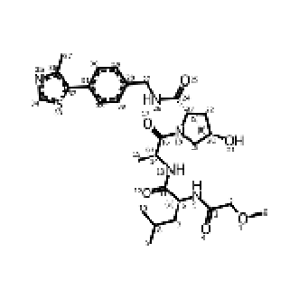 COCC(=O)N[C@@H](CC(C)C)C(=O)N[C@@H](C)C(=O)N1C[C@H](O)C[C@H]1C(=O)NCc1ccc(-c2scnc2C)cc1